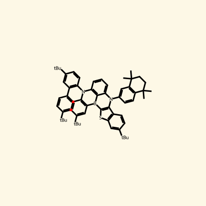 CC(C)(C)c1ccc(-c2cc(C(C)(C)C)ccc2N2c3ccc(C(C)(C)C)cc3B3c4sc5cc(C(C)(C)C)ccc5c4N(c4ccc5c(c4)C(C)(C)CCC5(C)C)c4cccc2c43)cc1